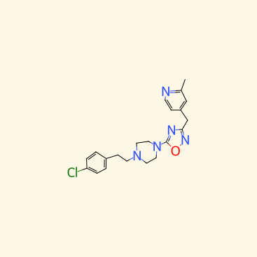 Cc1cc(Cc2noc(N3CCN(CCc4ccc(Cl)cc4)CC3)n2)ccn1